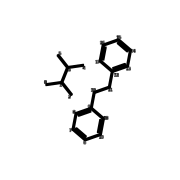 CC(C)C(C)C.c1ccc(CCc2ccccc2)cc1